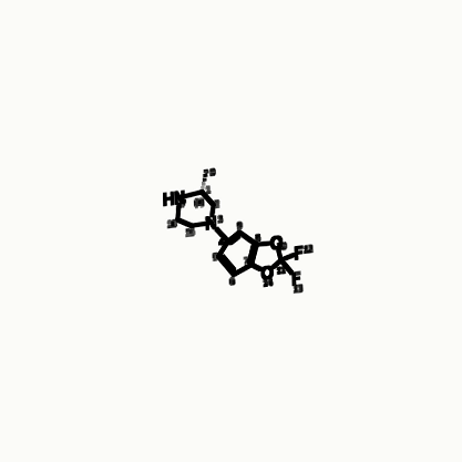 C[C@@H]1CN(c2ccc3c(c2)OC(F)(F)O3)CCN1